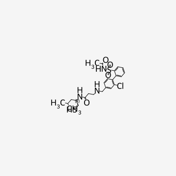 CC(=O)NS(=O)(=O)c1ccccc1-c1ccc(CNCCC(=O)N[C@@H](CS)CC(C)C)cc1Cl